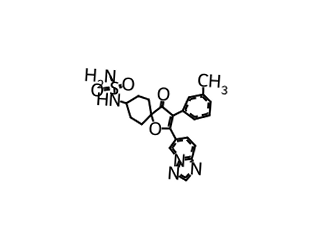 Cc1cccc(C2=C(c3ccc4ncnn4c3)OC3(CCC(NS(N)(=O)=O)CC3)C2=O)c1